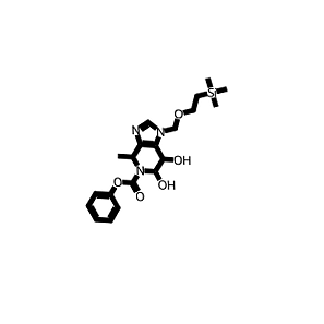 CC1c2ncn(COCC[Si](C)(C)C)c2C(O)C(O)N1C(=O)Oc1ccccc1